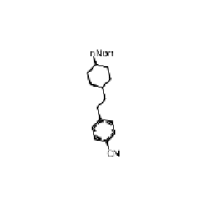 CCCCCCCCCC1CCC(CCc2ccc(C#N)cc2)CC1